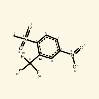 CS(=O)(=O)c1ccc([N+](=O)[O-])cc1C(F)(F)F